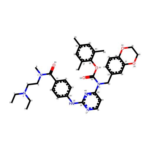 CCN(CC)CCN(C)C(=O)c1ccc(Nc2nccc(N(Cc3ccc4c(c3)OCCO4)C(=O)Oc3c(C)cc(C)cc3C)n2)cc1